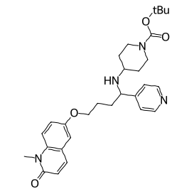 Cn1c(=O)ccc2cc(OCCCC(NC3CCN(C(=O)OC(C)(C)C)CC3)c3ccncc3)ccc21